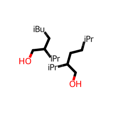 CC(C)CCC(CO)C(C)C.CCC(C)CC(CO)C(C)C